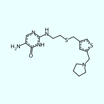 Nc1cnc(NCCSCc2csc(CN3CCCC3)c2)[nH]c1=O